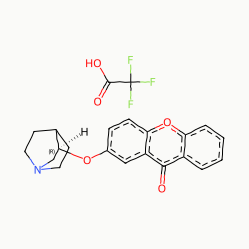 O=C(O)C(F)(F)F.O=c1c2ccccc2oc2ccc(O[C@H]3CN4CCC3CC4)cc12